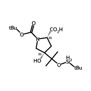 CC(C)(C)OC(=O)N1C[C@](O)(C(C)(C)O[SiH2]C(C)(C)C)C[C@H]1C(=O)O